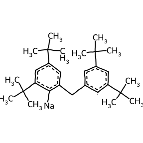 CC(C)(C)c1[c]c(Cc2cc(C(C)(C)C)cc(C(C)(C)C)[c]2[Na])cc(C(C)(C)C)c1